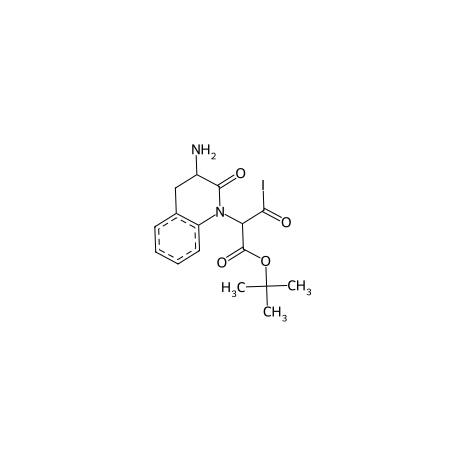 CC(C)(C)OC(=O)C(C(=O)I)N1C(=O)C(N)Cc2ccccc21